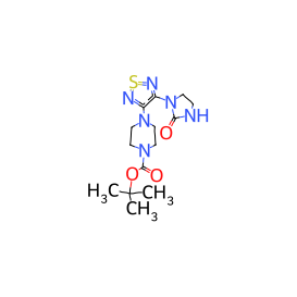 CC(C)(C)OC(=O)N1CCN(c2nsnc2N2CCNC2=O)CC1